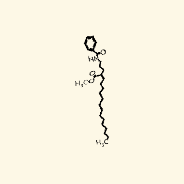 CCCCCCCCCCCCCCC(CCCNC(=O)c1ccccc1)C(=O)OC